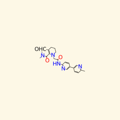 Cc1ccc(-c2ccc(NC(=O)CN3CCCC(C=O)=C3C(=O)N(C)C)nc2)cn1